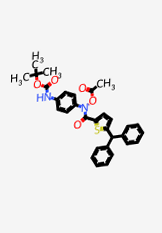 CC(=O)ON(C(=O)c1ccc(C(c2ccccc2)c2ccccc2)s1)c1ccc(NC(=O)OC(C)(C)C)cc1